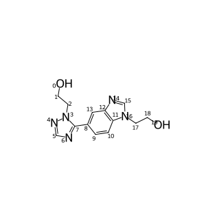 OCCn1ncnc1-c1ccc2c(c1)ncn2CCO